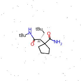 CC(C)(C)C[C@@H](C(=O)NC(C)(C)C)C1(C(N)=O)CCCC1